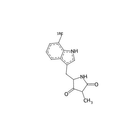 CC1C(=O)NC(Cc2c[nH]c3c([18F])cccc23)C1=O